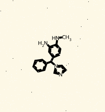 CNc1ccc(C(c2ccccc2)n2ccnc2)cc1N